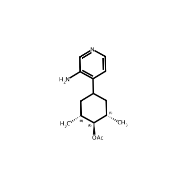 CC(=O)O[C@H]1[C@H](C)CC(c2ccncc2N)C[C@@H]1C